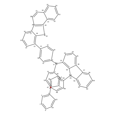 c1ccc(-c2ccc(N(c3ccc(-c4cccc5c4sc4c6ccccc6ccc54)cc3)c3cccc4c5ccccc5n(-c5ccccc5)c34)cc2)cc1